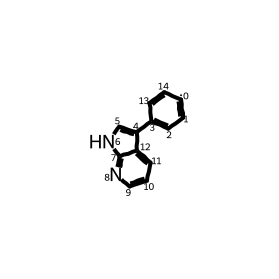 [c]1ccc(-c2c[nH]c3ncccc23)cc1